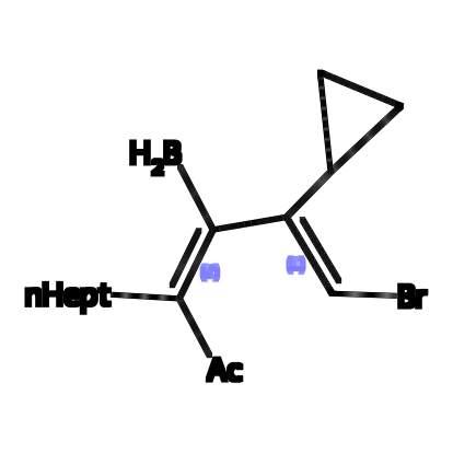 BC(=C(\CCCCCCC)C(C)=O)/C(=C/Br)C1CC1